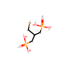 O=P(O)(O)CC(CBr)CP(=O)(O)O